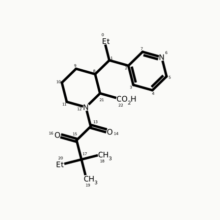 CCC(c1cccnc1)C1CCCN(C(=O)C(=O)C(C)(C)CC)C1C(=O)O